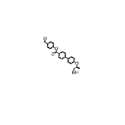 C=C(C=N)Oc1ccc(-c2ccc(C(=O)Oc3ccc(C=O)cc3)cc2)cc1